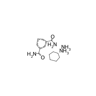 C1CCCCC1.N.N.NC(=O)c1cccc(C(N)=O)c1